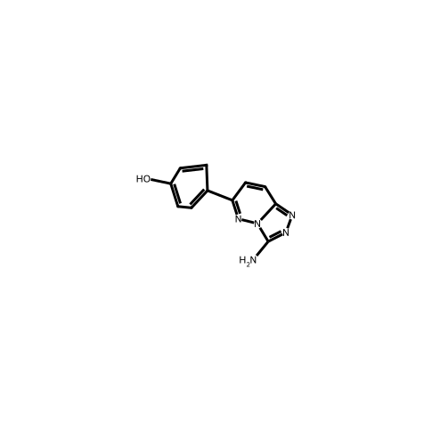 Nc1nnc2ccc(-c3ccc(O)cc3)nn12